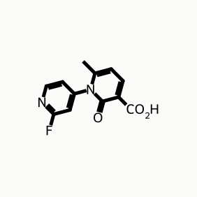 Cc1ccc(C(=O)O)c(=O)n1-c1ccnc(F)c1